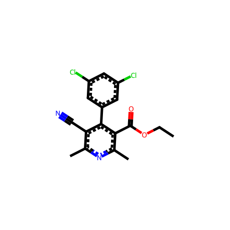 CCOC(=O)c1c(C)nc(C)c(C#N)c1-c1cc(Cl)cc(Cl)c1